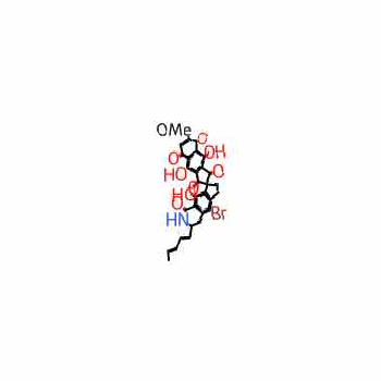 C/C=C/C=C/C1Cc2c(Br)c3c(c(O)c2C(=O)N1)C1(CC3)C(=O)c2c(O)c3c(c(O)c2C1=O)C(=O)C(OC)=CC3=O